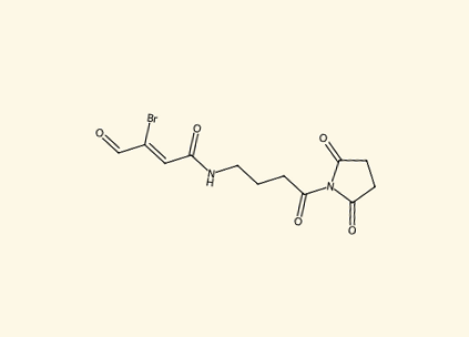 O=C/C(Br)=C/C(=O)NCCCC(=O)N1C(=O)CCC1=O